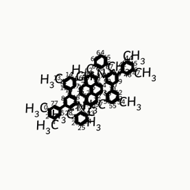 Cc1cc(C)cc(-c2cc(-c3cc(C)cc(C)c3)cc(N(c3c(C)cccc3C)c3ccc4ccc5c(N(c6cc(-c7cc(C)cc(C)c7)cc(-c7cc(C)cc(C)c7)c6)c6c(C)cccc6C)ccc6ccc3c4c65)c2)c1